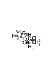 CC[C@@H](C(=N)C(=O)OC(C)(C)C)c1cc(F)ccc1F